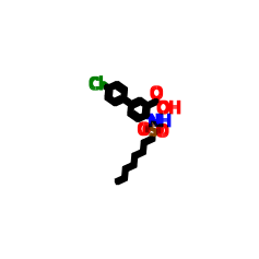 CCCCCCCCS(=O)(=O)Nc1ccc(-c2ccc(Cl)cc2)cc1C(=O)O